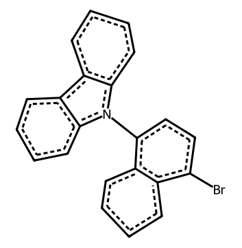 Brc1ccc(-n2c3ccccc3c3ccccc32)c2ccccc12